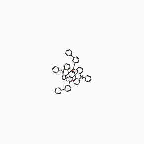 c1ccc(-c2cccc(-c3cc4c(o3)C3(c5ccccc5N(c5ccccc5)c5ccccc53)c3cc(-c5cccc(-c6ccccc6)c5)oc3C43c4ccccc4N(c4ccccc4)c4ccccc43)c2)cc1